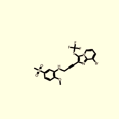 COc1ccc(S(C)(=O)=O)cc1NCC#Cc1nc2c(Br)cccn2c1SC(F)(F)F